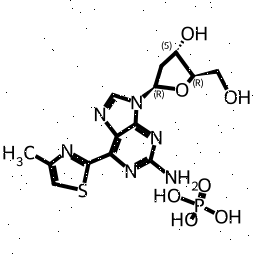 Cc1csc(-c2nc(N)nc3c2ncn3[C@H]2C[C@H](O)[C@@H](CO)O2)n1.O=P(O)(O)O